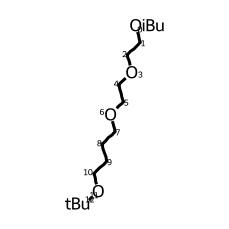 CC(C)COCCOCCOCCCCOC(C)(C)C